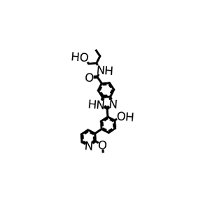 CCC(CO)NC(=O)c1ccc2nc(-c3cc(-c4cccnc4OC)ccc3O)[nH]c2c1